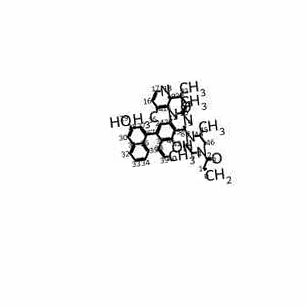 C=CC(=O)N1CCN(c2nc(=O)n(-c3c(C)ccnc3C(C)C)c3cc(-c4cc(O)cc5ccccc45)c(/C=C\C)c(O)c23)[C@@H](C)C1